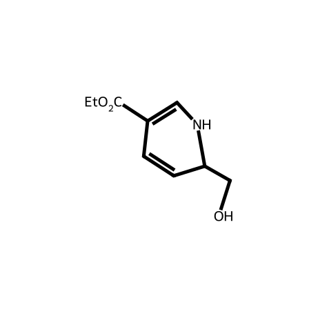 CCOC(=O)C1=CNC(CO)C=C1